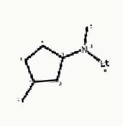 CCN(C)C1CCC(C)C1